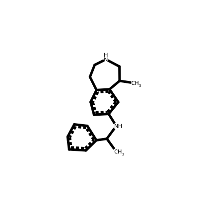 CC1CNCCc2ccc(NC(C)c3ccccc3)cc21